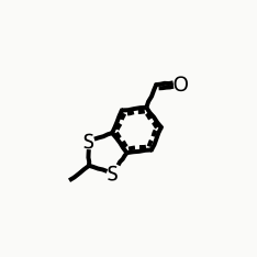 CC1Sc2ccc(C=O)cc2S1